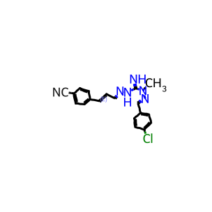 CN(N=Cc1ccc(Cl)cc1)C(=N)NN=C/C=C/c1ccc(C#N)cc1